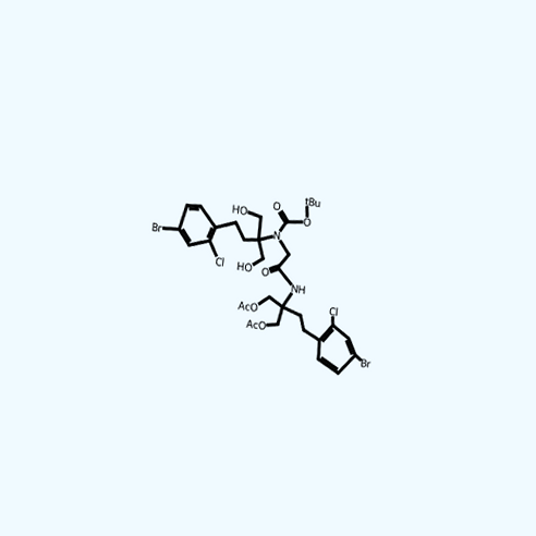 CC(=O)OCC(CCc1ccc(Br)cc1Cl)(COC(C)=O)NC(=O)CN(C(=O)OC(C)(C)C)C(CO)(CO)CCc1ccc(Br)cc1Cl